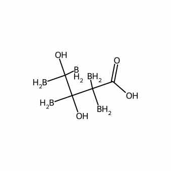 BC(B)(O)C(B)(O)C(B)(B)C(=O)O